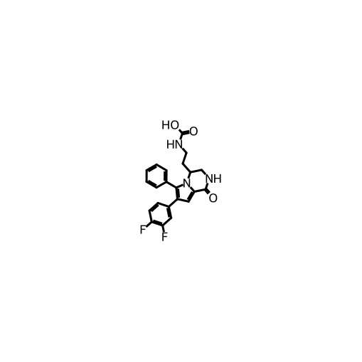 O=C(O)NCCC1CNC(=O)c2cc(-c3ccc(F)c(F)c3)c(-c3ccccc3)n21